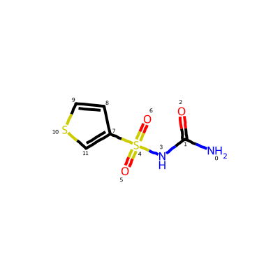 NC(=O)NS(=O)(=O)c1ccsc1